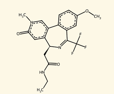 CCNC(=O)C[C@@H]1N=C(C(F)(F)F)c2cc(OC)ccc2-c2cn(C)c(=O)cc21